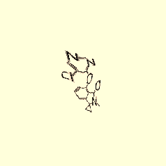 CN1C(=O)c2c(Oc3ncncc3Cl)cccc2C12CC2